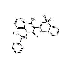 C/C(=N\n1c(=O)c(C2=NS(=O)(=O)c3ccccc3N2)c(O)c2ccccc21)c1ccccc1